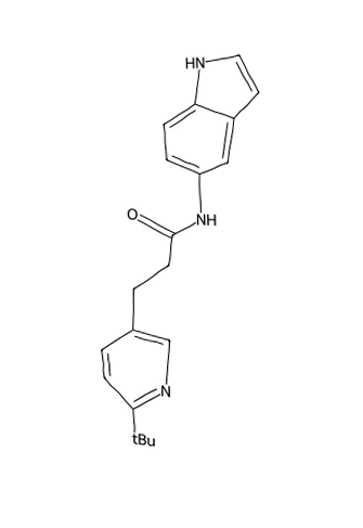 CC(C)(C)c1ccc(CCC(=O)Nc2ccc3[nH]ccc3c2)cn1